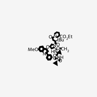 C=C[C@@H]1C[C@]1(NC(=O)[C@@H]1C[C@@H](Oc2cc(-c3ccccc3)nc3cc(OC)ccc23)CN1C(=O)[C@@H](CC(=O)N1CCCC(C(=O)OCC)C1)C(C)(C)C)C(=O)NS(=O)(=O)C1CC1